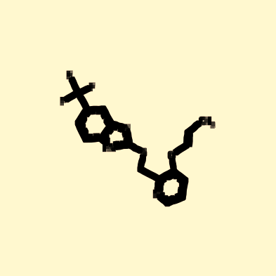 CC=COc1cccnc1CSc1nc2cc(C(F)(F)F)ccc2[nH]1